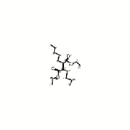 CCCCCC(C(=O)OCC)=C(CCCC)C(=O)OCC